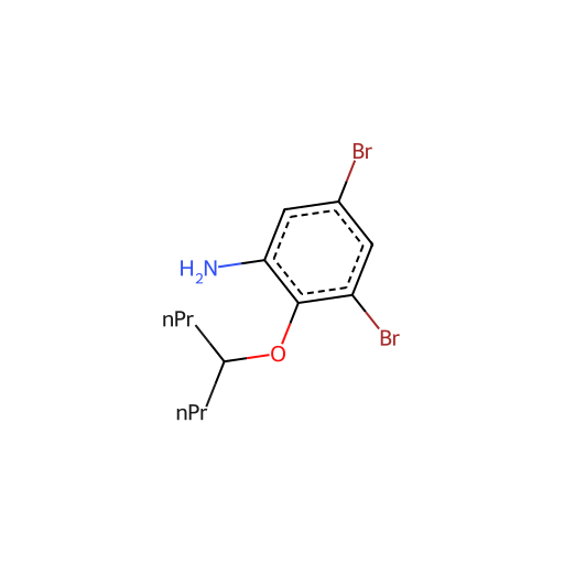 CCCC(CCC)Oc1c(N)cc(Br)cc1Br